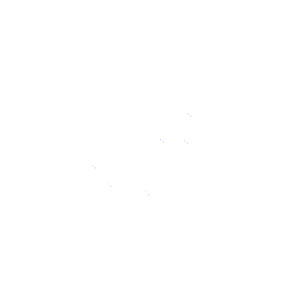 Cc1cnc2nc(-c3cc(NC(=O)Cn4ccnc4)ccc3Cl)[nH]c2c1